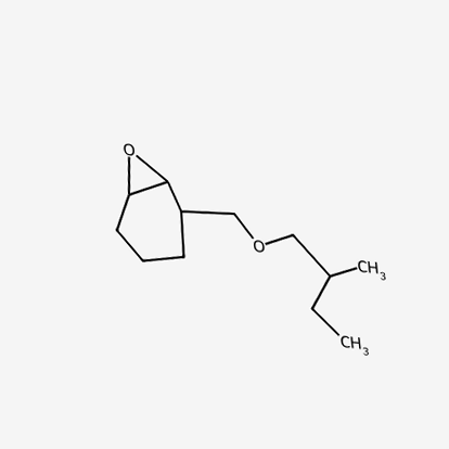 CCC(C)COCC1CCCC2OC12